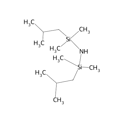 CC(C)C[Si](C)(C)N[Si](C)(C)CC(C)C